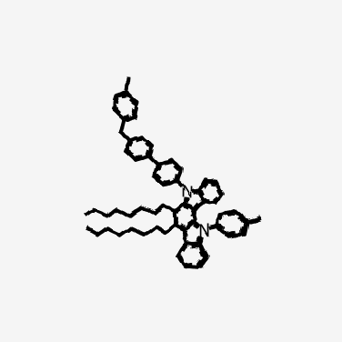 CCCCCCCCc1c(CCCCCCCC)c2c(c3ccccc3n2-c2ccc(-c3ccc(Cc4ccc(C)cc4)cc3)cc2)c2c1c1ccccc1n2-c1ccc(C)cc1